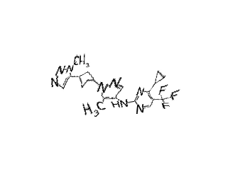 Cc1c(Nc2ncc(C(F)(F)F)c(C3CC3)n2)cnn1C1CC(c2cnnn2C)C1